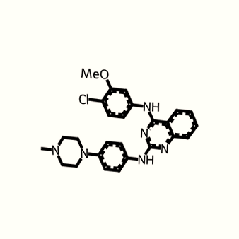 COc1cc(Nc2nc(Nc3ccc(N4CCN(C)CC4)cc3)nc3ccccc23)ccc1Cl